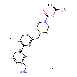 C=C(C)OC(=O)N1CCC(Cc2cccc(-c3cccc(CN)c3)c2)CC1